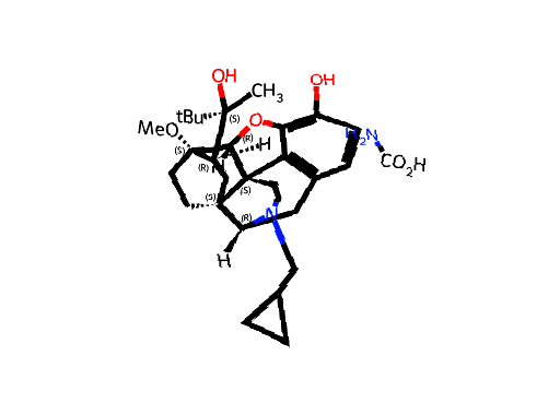 CO[C@@]12CC[C@@]3(C[C@@H]1[C@](C)(O)C(C)(C)C)[C@H]1Cc4ccc(O)c5c4[C@@]3(CCN1CC1CC1)[C@H]2O5.NC(=O)O